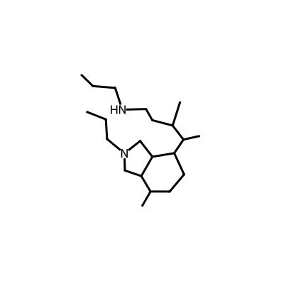 CCCNCCC(C)C(C)C1CCC(C)C2CN(CCC)CC21